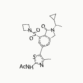 CC(=O)Nc1nc(C)c(-c2cc3c(c(S(=O)(=O)N4CCC4)c2)C(=O)N(C(C)C2CC2)C3)s1